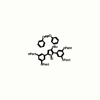 CCCCCc1cc(CCCCC)cc(C2=CC(CCCC)=C(c3cc(CCCCC)cc(CCCCC)c3)[N+]2=[N-])c1.c1ccc([O][Ni][O]c2ccccc2)cc1